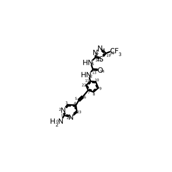 Nc1ncc(C#Cc2cccc(NC(=O)Nc3nnc(C(F)(F)F)s3)c2)cn1